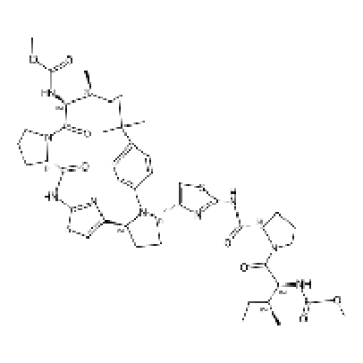 CC[C@H](C)[C@H](NC(=O)OC)C(=O)N1CCC[C@H]1C(=O)Nc1nc([C@@H]2CC[C@@H](c3csc(NC(=O)[C@@H]4CCCN4C(=O)[C@@H](NC(=O)OC)[C@@H](C)CC)n3)N2c2ccc(C(C)(C)C)cc2)cs1